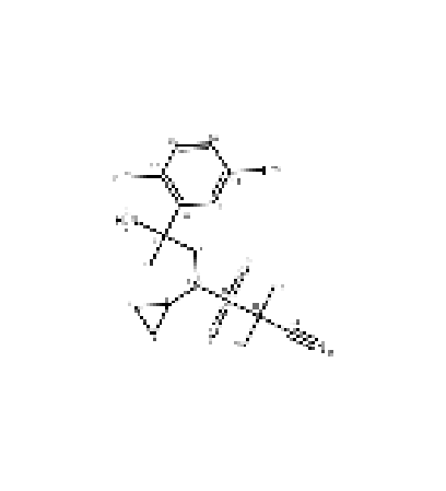 CC(N)(CN(C1CC1)S(=O)(=O)C(C)(C)C#N)c1cc(I)ccc1F